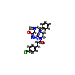 CCN(CC(N)=O)CC(c1ccccc1)N1CCN(C(=O)[CH]Cc2ccc(Cl)cc2)CC1